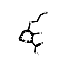 NC(=O)c1cccc(OCCO)c1Cl